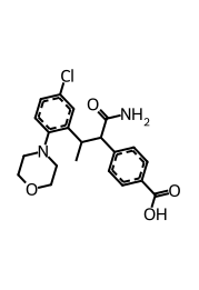 CC(c1cc(Cl)ccc1N1CCOCC1)C(C(N)=O)c1ccc(C(=O)O)cc1